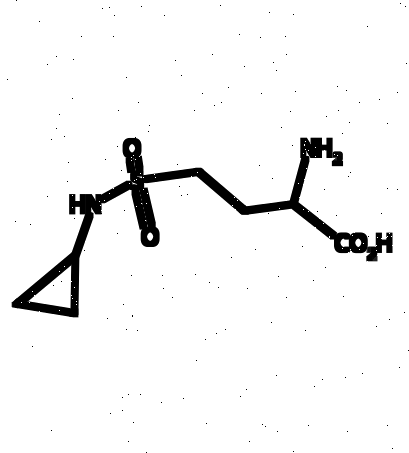 NC(CCS(=O)(=O)NC1CC1)C(=O)O